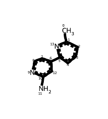 Cc1cccc(-c2ccnc(N)c2)n1